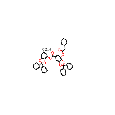 O=C(CC1CCCCC1)Oc1cc(C(=O)Oc2cc(C(=O)O)cc3c2OC(c2ccccc2)(c2ccccc2)O3)cc2c1OC(c1ccccc1)(c1ccccc1)O2